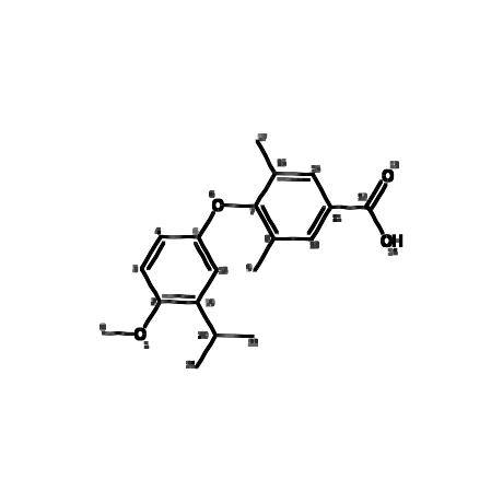 COc1ccc(Oc2c(C)cc(C(=O)O)cc2C)cc1C(C)C